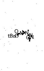 Cc1nnc(N(C)C2CN(C(=O)OC(C)(C)C)C2)o1